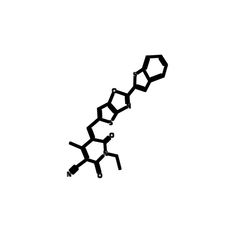 CCN1C(=O)C(C#N)=C(C)/C(=C/c2cc3oc(-c4cc5ccccc5s4)nc3s2)C1=O